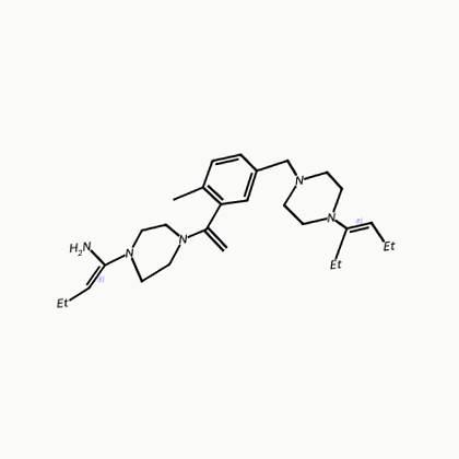 C=C(c1cc(CN2CCN(/C(=C/CC)CC)CC2)ccc1C)N1CCN(/C(N)=C/CC)CC1